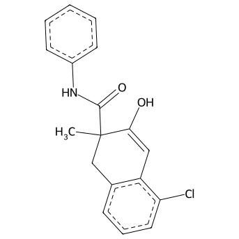 CC1(C(=O)Nc2ccccc2)Cc2cccc(Cl)c2C=C1O